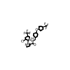 O=C(NCc1ccc(Oc2ccc(C(F)(F)F)cc2)cc1)c1ccnn1-c1ncc(C(F)(F)F)cc1Cl